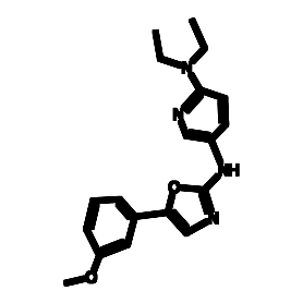 CCN(CC)c1ccc(Nc2ncc(-c3cccc(OC)c3)o2)cn1